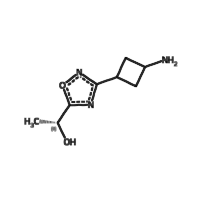 C[C@@H](O)c1nc(C2CC(N)C2)no1